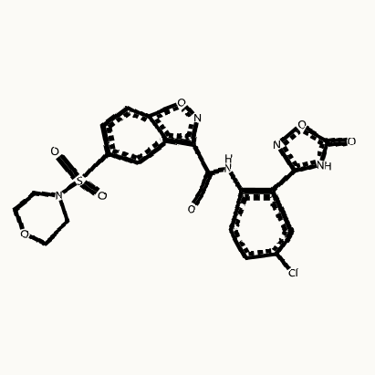 O=C(Nc1ccc(Cl)cc1-c1noc(=O)[nH]1)c1noc2ccc(S(=O)(=O)N3CCOCC3)cc12